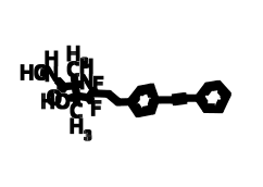 CC(NCCCc1ccc(C#Cc2ccccc2)cc1)(C(=O)NO)C(C)(O)C(F)F